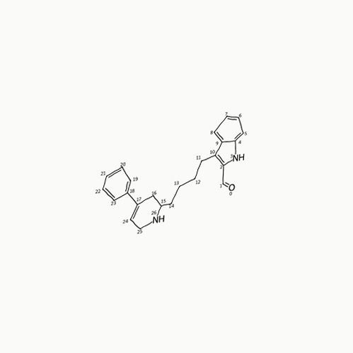 O=Cc1[nH]c2ccccc2c1CCCCC1CC(c2ccccc2)=CCN1